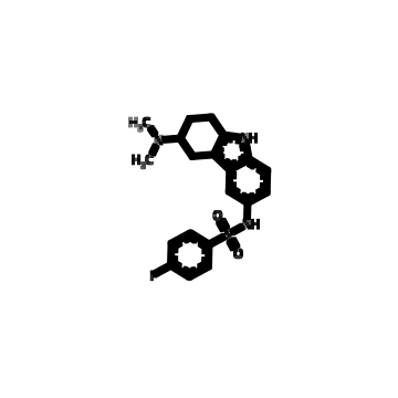 CN(C)C1CCc2[nH]c3ccc(NS(=O)(=O)c4ccc(I)cc4)cc3c2C1